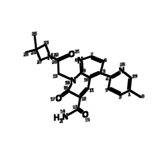 Cc1ccc(-c2ccnc3c2cc(C(N)=O)c(=O)n3CC(=O)N2CC(C)(C)C2)nc1